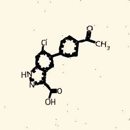 CC(=O)c1ccc(-c2cc3c(C(=O)O)n[nH]c3cc2Cl)cc1